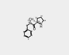 CN(Cc1ccccc1)C(=O)[C@H]1CCCN1